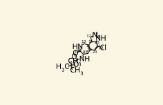 CC(C)(C)OC(=O)NC1CC2=C(CNC1=O)C1C=NNC1C(Cl)=C2